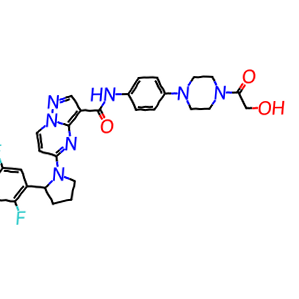 O=C(Nc1ccc(N2CCN(C(=O)CO)CC2)cc1)c1cnn2ccc(N3CCCC3c3cc(F)ccc3F)nc12